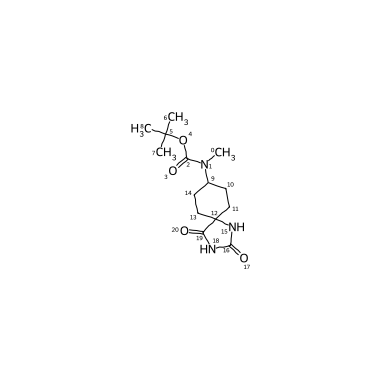 CN(C(=O)OC(C)(C)C)C1CCC2(CC1)NC(=O)NC2=O